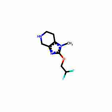 Cn1c(OCC(F)F)nc2c1CCNC2